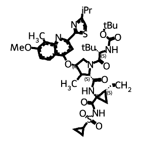 C=C[C@@H]1C[C@]1(NC(=O)[C@@H]1C(C)[C@@H](Oc2cc(-c3nc(C(C)C)cs3)nc3c(C)c(OC)ccc23)CN1C(=O)[C@@H](NC(=O)OC(C)(C)C)C(C)(C)C)C(=O)NS(=O)(=O)C1CC1